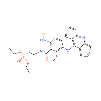 CCOP(=O)(CCNC(=O)c1c(NS)ccc(Nc2c3ccccc3nc3ccccc23)c1OC)OCC